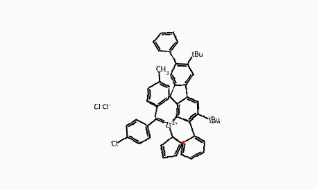 Cc1ccc([C](c2ccc(Cl)cc2)=[Zr+2]([c]2c3c(cc(C(C)(C)C)c2-c2ccccc2)-c2cc(C(C)(C)C)c(-c4ccccc4)cc2C3)[CH]2C=CC=C2)cc1.[Cl-].[Cl-]